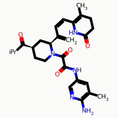 C=C(/C=C\C1=C(C)CCC(=O)N1)[C@@H]1C[C@H](C(=O)C(C)C)CCN1C(=O)C(=O)Nc1cnc(N)c(C)c1